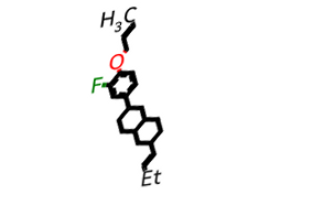 CC=CCOc1ccc(C2CCC3CC(C=CCC)CCC3C2)cc1F